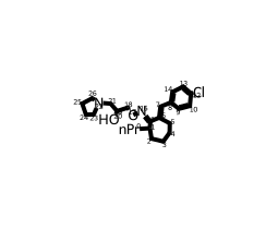 CCCC1CCCCC(=C\c2ccc(Cl)cc2)/C1=N/OCC(O)CN1CCCC1